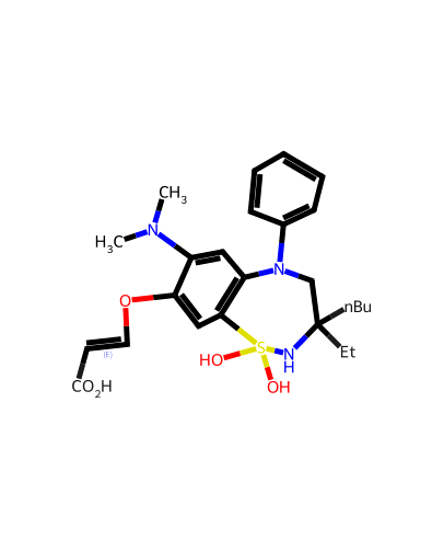 CCCCC1(CC)CN(c2ccccc2)c2cc(N(C)C)c(O/C=C/C(=O)O)cc2S(O)(O)N1